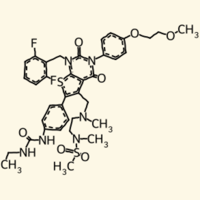 CCNC(=O)Nc1ccc(-c2sc3c(c2CN(C)CCN(C)S(C)(=O)=O)c(=O)n(-c2ccc(OCCOC)cc2)c(=O)n3Cc2c(F)cccc2F)cc1